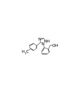 Cc1ccc(C2N=CNN2c2ccccc2CO)cc1